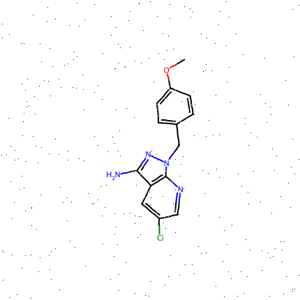 COc1ccc(Cn2nc(N)c3cc(Cl)cnc32)cc1